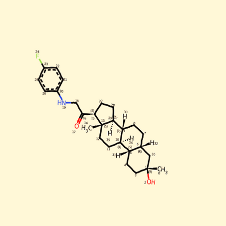 C[C@@]1(O)CC[C@H]2[C@H](CC[C@@H]3[C@@H]2CC[C@]2(C)[C@@H](C(=O)CNc4ccc(F)cc4)CC[C@@H]32)C1